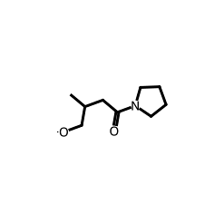 CC(C[O])CC(=O)N1CCCC1